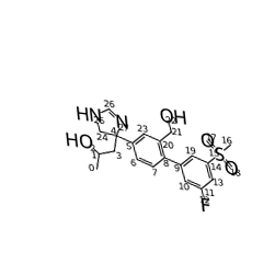 CC(O)CC1(c2ccc(-c3cc(F)cc(S(C)(=O)=O)c3)c(CO)c2)CNC=N1